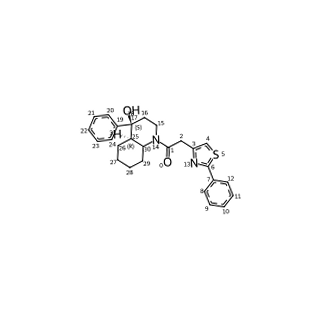 O=C(Cc1csc(-c2ccccc2)n1)N1CC[C@@](O)(c2ccccc2)[C@@H]2CCCCC21